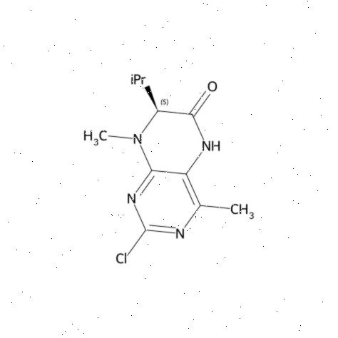 Cc1nc(Cl)nc2c1NC(=O)[C@H](C(C)C)N2C